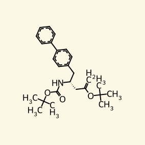 C=C(C[C@@H](Cc1ccc(-c2ccccc2)cc1)NC(=O)OC(C)(C)C)OC(C)(C)C